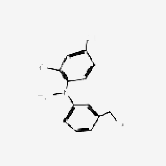 Cc1ccc(N(C)c2cccc(CO)c2)c(Cl)c1